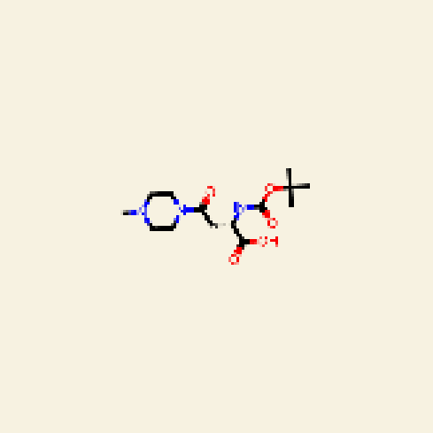 CN1CCN(C(=O)C[C@H](NC(=O)OC(C)(C)C)C(=O)O)CC1